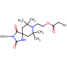 CCCCCCCCN1C(=O)NC2(CC(C)(C)N(CCOC(=O)CC(C)=O)C(C)(C)C2)C1=O